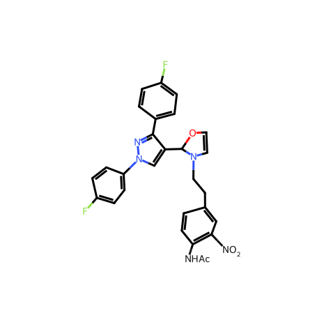 CC(=O)Nc1ccc(CCN2C=COC2c2cn(-c3ccc(F)cc3)nc2-c2ccc(F)cc2)cc1[N+](=O)[O-]